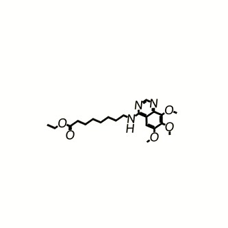 CCOC(=O)CCCCCCCNc1ncnc2c(OC)c(OC)c(OC)cc12